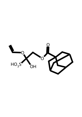 C=COC(O)(COC(=O)C12CC3CC(CC(C3)C1)C2)S(=O)(=O)O